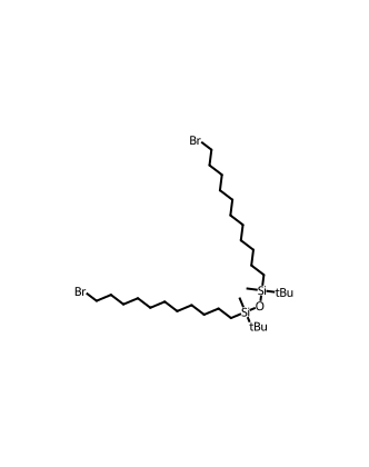 CC(C)(C)[Si](C)(CCCCCCCCCCCBr)O[Si](C)(CCCCCCCCCCCBr)C(C)(C)C